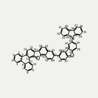 c1ccc2c(c1)c1ccccc1c1c2ccc2c3ccc4cc(-c5ccc6oc7ccc(-n8c9ccccc9c9ccccc98)cc7c6c5)ccc4c3oc21